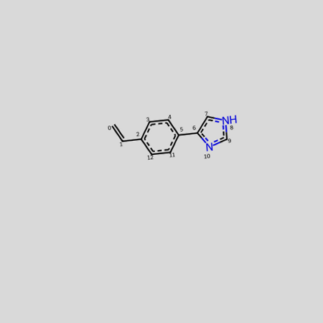 C=Cc1ccc(-c2c[nH]cn2)cc1